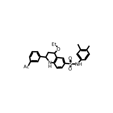 CCOC1CC(c2cccc(C(C)=O)c2)Nc2ccc(S(=O)(=O)Nc3ccc(C)c(C)c3)cc21